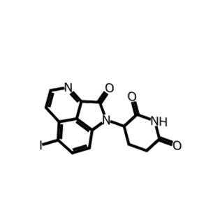 O=C1CCC(N2C(=O)c3nccc4c(I)ccc2c34)C(=O)N1